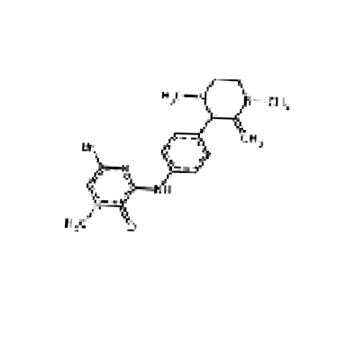 C=C1C(c2ccc(Nc3nc(Br)cn(C)c3=O)cc2)N(C)CCN1C